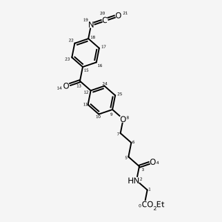 CCOC(=O)CNC(=O)CCCOc1ccc(C(=O)c2ccc(N=C=O)cc2)cc1